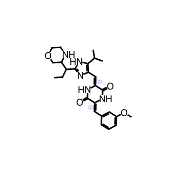 CCC(c1nc(/C=c2\[nH]c(=O)/c(=C/c3cccc(OC)c3)[nH]c2=O)c(C(C)C)[nH]1)C1COCCN1